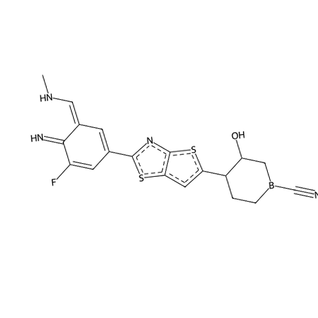 CN/C=C1/C=C(c2nc3sc(C4CCB(C#N)CC4O)cc3s2)C=C(F)C1=N